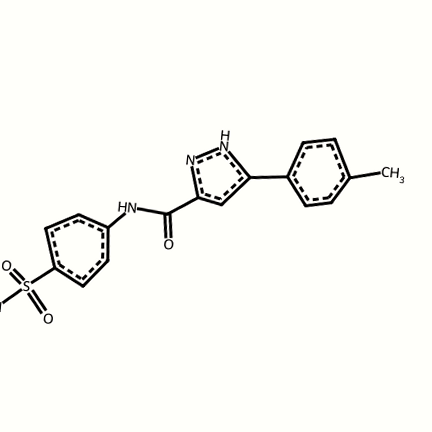 Cc1ccc(-c2cc(C(=O)Nc3ccc(S(N)(=O)=O)cc3)n[nH]2)cc1